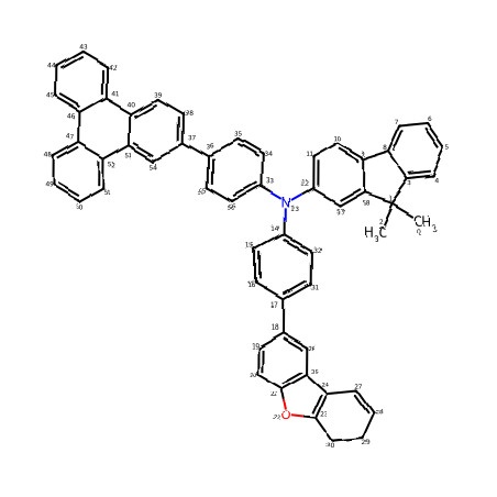 CC1(C)c2ccccc2-c2ccc(N(c3ccc(-c4ccc5oc6c(c5c4)C=CCC6)cc3)c3ccc(-c4ccc5c6ccccc6c6ccccc6c5c4)cc3)cc21